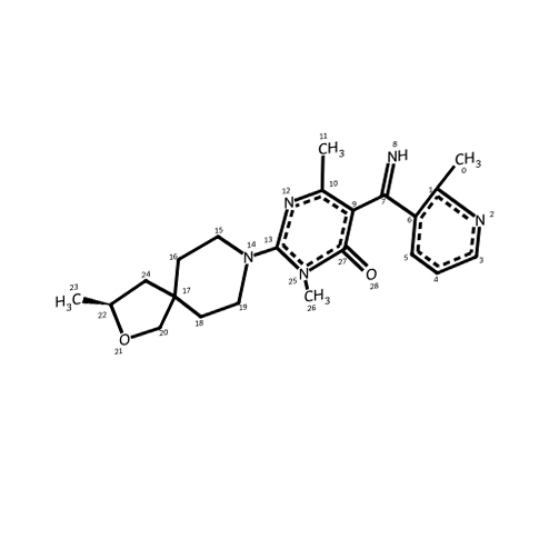 Cc1ncccc1C(=N)c1c(C)nc(N2CCC3(CC2)CO[C@@H](C)C3)n(C)c1=O